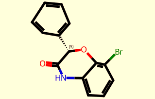 O=C1Nc2cccc(Br)c2O[C@H]1c1ccccc1